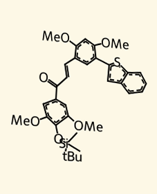 COc1cc(OC)c(-c2cc3ccccc3s2)cc1C=CC(=O)c1cc(OC)c(O[Si](C)(C)C(C)(C)C)c(OC)c1